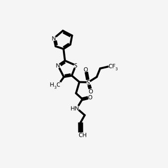 C#CCNC(=O)CC(c1sc(-c2cccnc2)nc1C)S(=O)(=O)CCC(F)(F)F